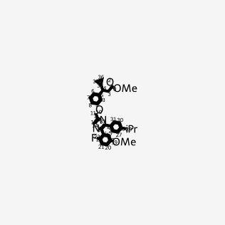 COC(=O)CC(c1cccc(OCc2cnc(-c3cc(OC)ccc3F)c(-c3ccc(C(C)C)cc3)n2)c1)C1CC1